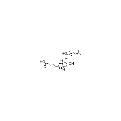 CC(C)=CCC(C)(C)[C@H](O)/C=C/[C@H]1C(O)C[C@@H]2OC(CCCCC(=O)O)C[C@@H]21